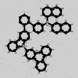 c1cc(-c2ccccc2-c2ccc3c(c2)c2ccccc2n3-c2ccc3c4ccccc4c4ccccc4c3c2)cc(N(c2ccc3ccccc3c2)c2cccc3ccccc23)c1